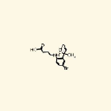 CC(C)(C=O)c1cc(Br)ccc1NCCCC(=O)O